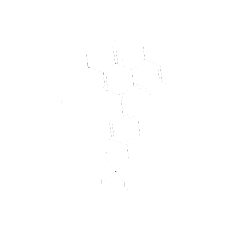 O=C([O-])c1nn(-c2ccc(OC(F)(F)F)cc2)c2cccc(F)c2c1=O.[K+]